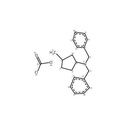 CC1CCC(N(Cc2ccccc2)Cc2ccccc2)C1.O=C(Cl)Cl